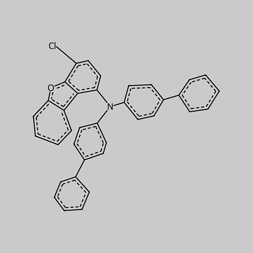 Clc1ccc(N(c2ccc(-c3ccccc3)cc2)c2ccc(-c3ccccc3)cc2)c2c1oc1ccccc12